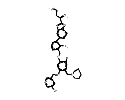 C=C(CCN)c1nc2cc(-c3cccc(COc4cc(OCc5cncc(C#N)c5)c(CN5CCCCC5)cc4Cl)c3C)ccc2o1